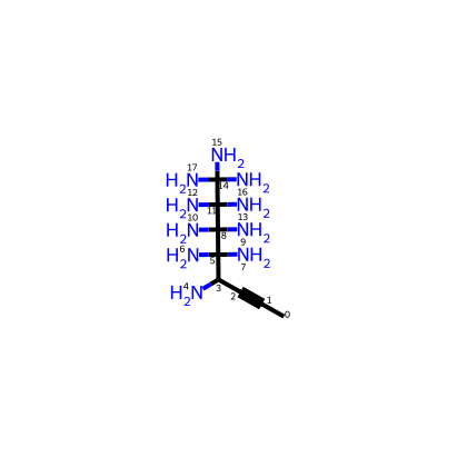 CC#CC(N)C(N)(N)C(N)(N)C(N)(N)C(N)(N)N